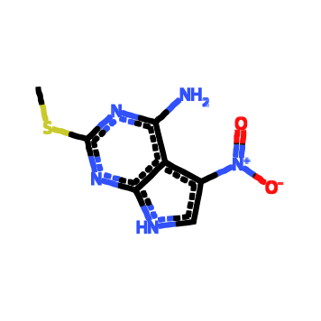 CSc1nc(N)c2c([N+](=O)[O-])c[nH]c2n1